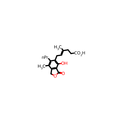 CCCc1c(C)c2c(c(O)c1C/C=C(\C)CCC(=O)O)C(=O)OC2